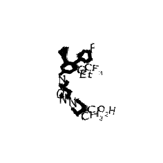 CCOc1cc(CN2CC3(CC(N4CCC(C)(C(=O)O)CC4)=NO3)C2)cc(C2CC2)c1-c1ccc(F)cc1C(F)(F)F